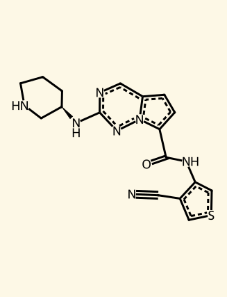 N#Cc1cscc1NC(=O)c1ccc2cnc(N[C@@H]3CCCNC3)nn12